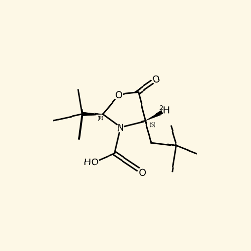 [2H][C@]1(CC(C)(C)C)C(=O)O[C@H](C(C)(C)C)N1C(=O)O